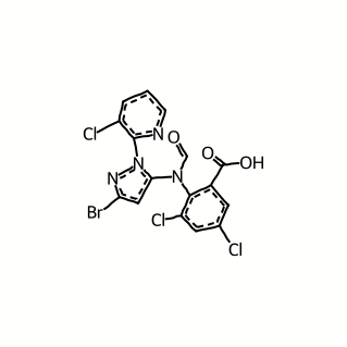 O=CN(c1c(Cl)cc(Cl)cc1C(=O)O)c1cc(Br)nn1-c1ncccc1Cl